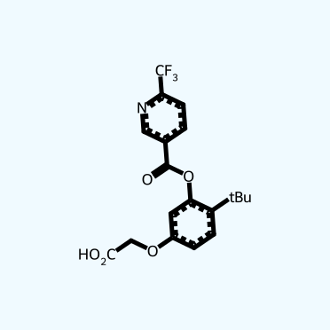 CC(C)(C)c1ccc(OCC(=O)O)cc1OC(=O)c1ccc(C(F)(F)F)nc1